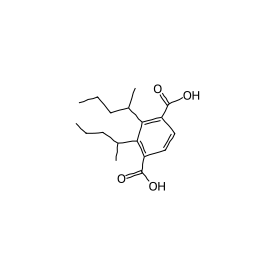 CCCC(C)c1c(C(=O)O)ccc(C(=O)O)c1C(C)CCC